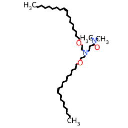 CCCCCCCC/C=C\CCCCCCCCOCCN(CCOCCCCCCCC/C=C\CCCCCCCC)CCC(=O)N(C)C